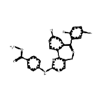 COC(=O)c1ccc(Nc2ncc3c(n2)-c2ccc(Cl)cc2C(c2cc(F)ccc2F)=NC3)cc1